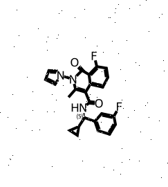 Cc1c(C(=O)N[C@H](c2cccc(F)c2)C2CC2)c2cccc(F)c2c(=O)n1-n1cccc1